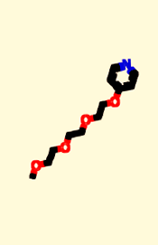 COCCOCCOCCOc1ccncc1